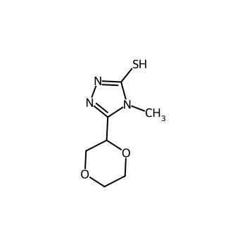 Cn1c(S)nnc1C1COCCO1